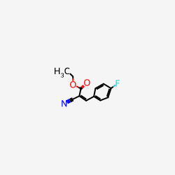 CCOC(=O)C(C#N)=Cc1ccc(F)cc1